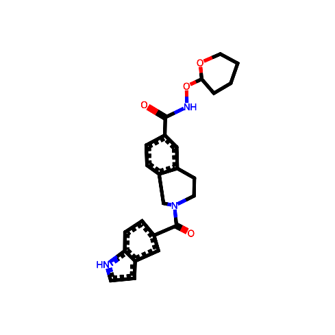 O=C(NOC1CCCCO1)c1ccc2c(c1)CCN(C(=O)c1ccc3[nH]ccc3c1)C2